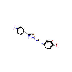 O=C(O)c1ccc(NC(=S)Nc2nc(-c3ccc([N+](=O)[O-])cc3)cs2)cc1O